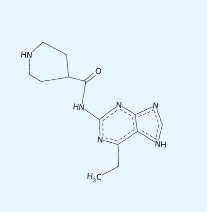 CCc1nc(NC(=O)C2CCNCC2)nc2nc[nH]c12